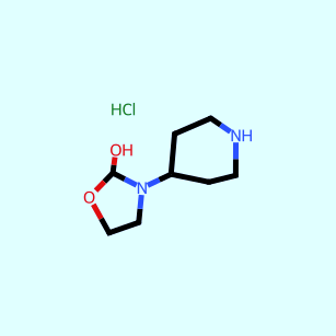 Cl.OC1OCCN1C1CCNCC1